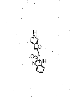 [O-][S+](Cc1cc2c(o1)=CNCC=2)c1nc2ccccc2[nH]1